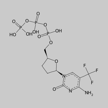 Nc1nc(=O)n([C@H]2CC[C@@H](COP(=O)(O)OP(=O)(O)OP(=O)(O)O)O2)cc1C(F)(F)F